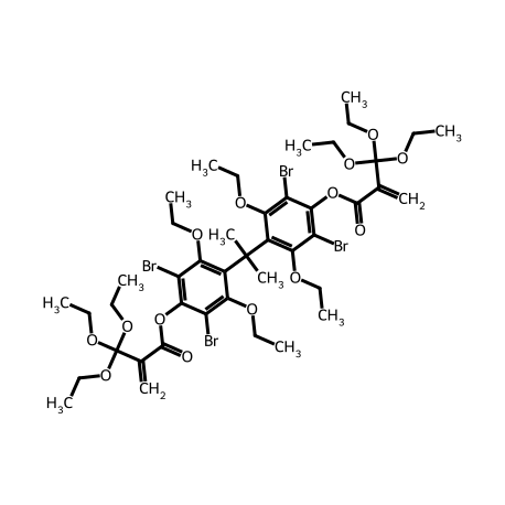 C=C(C(=O)Oc1c(Br)c(OCC)c(C(C)(C)c2c(OCC)c(Br)c(OC(=O)C(=C)C(OCC)(OCC)OCC)c(Br)c2OCC)c(OCC)c1Br)C(OCC)(OCC)OCC